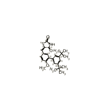 COc1ccc(C=C2SC(=O)NC2=O)cc1-c1cc(C(C)(C)C)cc(C(C)(C)C)c1